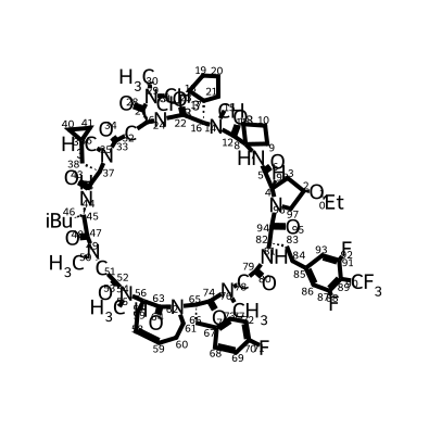 CCO[C@@H]1C[C@H]2C(=O)NC3(CCC3)C(=O)N(C)[C@@H](C3CCCC3)C(=O)N(C)[C@H](C(=O)N(C)C)CC(=O)N(C)[C@@H](CC3CC3)C(=O)N[C@@H]([C@@H](C)CC)C(=O)N(C)CC(=O)N(C)[C@H]3C/C=C\CCN(C3=O)[C@@H](Cc3ccc(F)cc3)C(=O)N(C)CC(=O)N[C@@H](CCc3cc(F)c(C(F)(F)F)c(F)c3)C(=O)N2C1